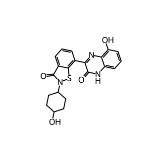 O=c1[nH]c2cccc(O)c2nc1-c1cccc2c(=O)n(C3CCC(O)CC3)sc12